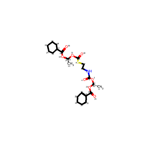 C[C@@H](OC(=O)NCCSC(=O)O[C@H](C)OC(=O)C1CCCCC1)OC(=O)C1CCCCC1